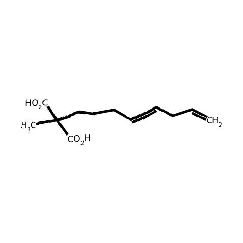 C=CCC=CCCCC(C)(C(=O)O)C(=O)O